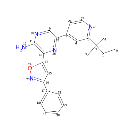 CCC(C)(C)c1cc(-c2cnc(N)c(-c3cc(-c4ccccc4)no3)n2)ccn1